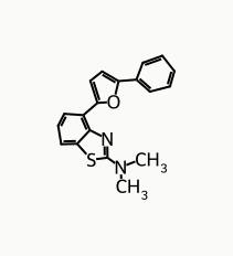 CN(C)c1nc2c(-c3ccc(-c4ccccc4)o3)cccc2s1